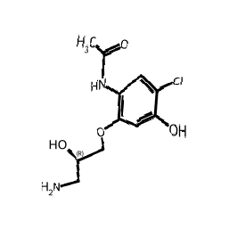 CC(=O)Nc1cc(Cl)c(O)cc1OC[C@H](O)CN